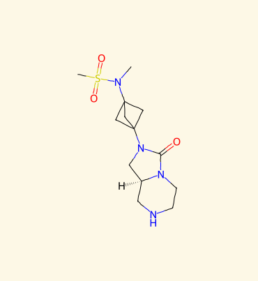 CN(C12CC(N3C[C@@H]4CNCCN4C3=O)(C1)C2)S(C)(=O)=O